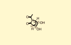 CC(=O)N1C(=O)[C@H]2C[C@@H]1[C@H](O)[C@@H]2O